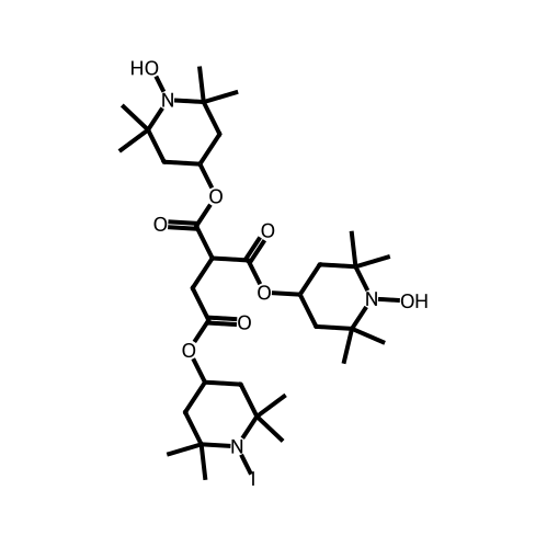 CC1(C)CC(OC(=O)C(CC(=O)OC2CC(C)(C)N(I)C(C)(C)C2)C(=O)OC2CC(C)(C)N(O)C(C)(C)C2)CC(C)(C)N1O